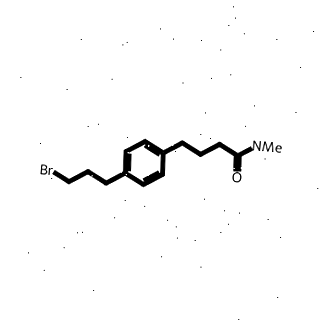 CNC(=O)CCCc1ccc(CCCBr)cc1